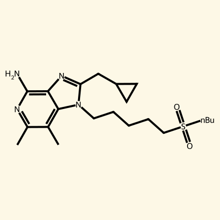 CCCCS(=O)(=O)CCCCCn1c(CC2CC2)nc2c(N)nc(C)c(C)c21